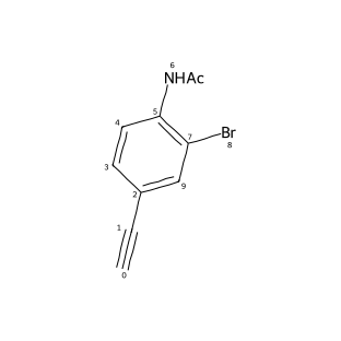 C#Cc1ccc(NC(C)=O)c(Br)c1